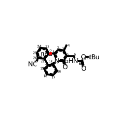 CCCCc1cc(C)c(CNC(=O)OC(C)(C)C)c(=O)n1-c1ccccc1-c1ccccc1C#N